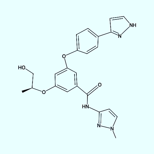 C[C@@H](CO)Oc1cc(Oc2ccc(-c3cc[nH]n3)cc2)cc(C(=O)Nc2ccn(C)n2)c1